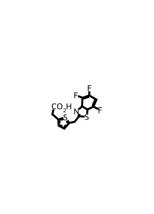 O=C(O)Cc1ccc(CC2=NC3C(F)=C(F)C=C(F)C3S2)s1